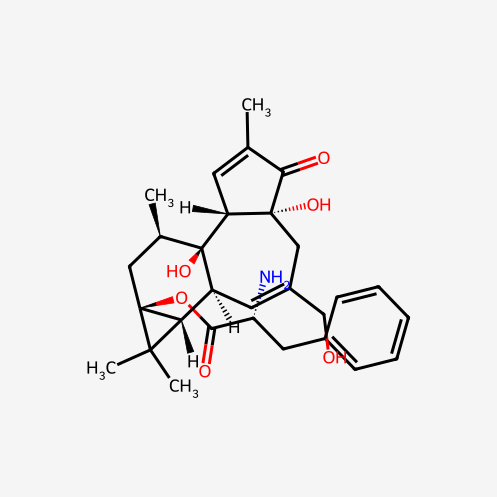 CC1=C[C@H]2[C@@]3(O)[C@H](C)C[C@]4(OC(=O)[C@H](N)Cc5ccccc5)[C@H]([C@@H]3C=C(CO)C[C@]2(O)C1=O)C4(C)C